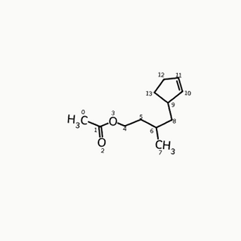 CC(=O)OCCC(C)CC1C=CCC1